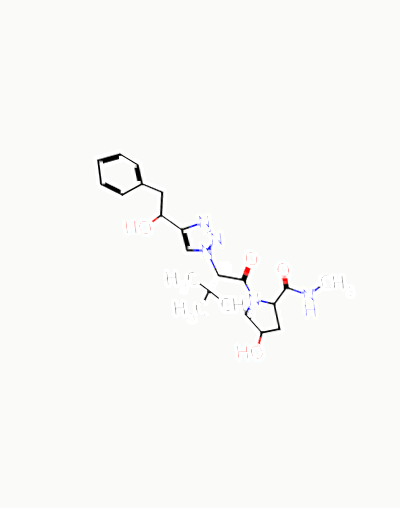 CNC(=O)C1CC(O)CN1C(=O)[C@@H](n1cc(C(O)Cc2ccccc2)nn1)C(C)(C)C